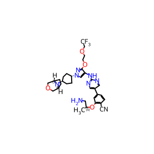 C[C@@H](CN)Oc1cc(-c2cnc(Nc3cn([C@H]4CC[C@H](N5[C@@H]6CC[C@H]5COC6)CC4)nc3OCCOCC(F)(F)F)nc2)ccc1C#N